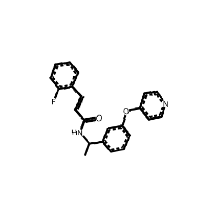 CC(NC(=O)C=Cc1ccccc1F)c1cccc(Oc2ccncc2)c1